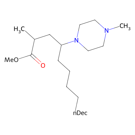 [CH2]OC(=O)C(C)CC(CCCCCCCCCCCCCC)N1CCN(C)CC1